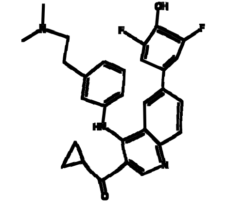 CN(C)CCc1cccc(Nc2c(C(=O)C3CC3)cnc3ccc(-c4cc(F)c(O)c(F)c4)cc23)c1